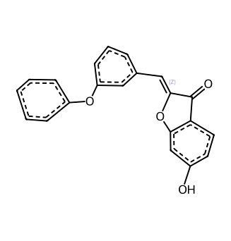 O=C1/C(=C/c2cccc(Oc3ccccc3)c2)Oc2cc(O)ccc21